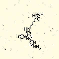 Nc1ncc(-c2nc(N3CCOCC3)c3sc(NCCCCCCC(=O)NO)cc3n2)cn1